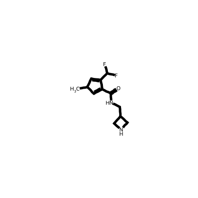 CC1C=C(C(=O)NCC2CNC2)C(C(F)F)=C1